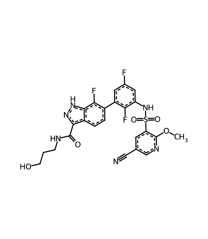 COc1ncc(C#N)cc1S(=O)(=O)Nc1cc(F)cc(-c2ccc3c(C(=O)NCCCO)n[nH]c3c2F)c1F